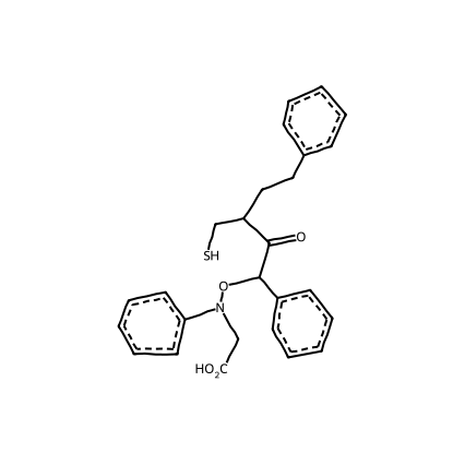 O=C(O)CN(OC(C(=O)C(CS)CCc1ccccc1)c1ccccc1)c1ccccc1